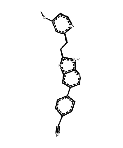 COc1ccnc(CCc2nc3cc(-c4ccc(C#N)cc4)cnc3[nH]2)c1